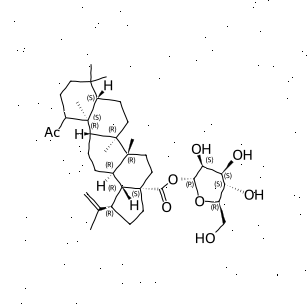 C=C(C)[C@@H]1CC[C@]2(C(=O)O[C@H]3O[C@H](CO)[C@@H](O)[C@H](O)[C@@H]3O)CC[C@]3(C)[C@H](CC[C@@H]4[C@@]5(C)C(C(C)=O)CCC(C)(C)[C@@H]5CC[C@]43C)[C@@H]12